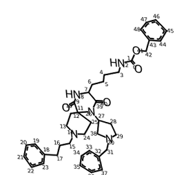 O=C(NCCCCC1NC(=O)C2(CCN(CCCc3ccccc3)CC2)N(C2CCN(Cc3ccccc3)C2)C1=O)OCc1ccccc1